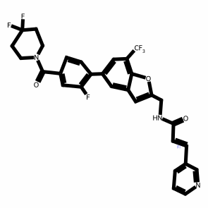 O=C(/C=C/c1cccnc1)NCc1cc2cc(-c3ccc(C(=O)N4CCC(F)(F)CC4)cc3F)cc(C(F)(F)F)c2o1